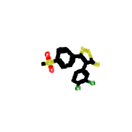 CS(=O)(=O)c1ccc(-c2ssc(=S)c2-c2ccc(Cl)c(Cl)c2)cc1